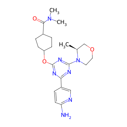 C[C@H]1COCCN1c1nc(OC2CCC(C(=O)N(C)C)CC2)nc(-c2ccc(N)nc2)n1